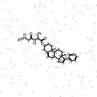 CC(C)NCC(=O)NC(C(=O)OC1CCC2(C)C(=CCC3C2CCC2(C)C(c4cccnc4)=CCC32)C1)C(C)C